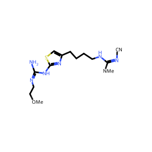 CN/C(=N/C#N)NCCCCc1csc(N/C(N)=N\CCOC)n1